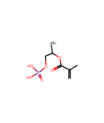 C=C(C)C(=O)OC(CCCC)COP(=O)(O)O